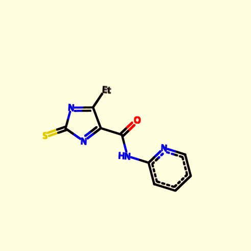 CCC1=NC(=S)N=C1C(=O)Nc1ccccn1